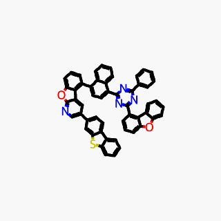 c1ccc(-c2nc(-c3ccc(-c4cccc5oc6ncc(-c7ccc8c(c7)sc7ccccc78)cc6c45)c4ccccc34)nc(-c3cccc4oc5ccccc5c34)n2)cc1